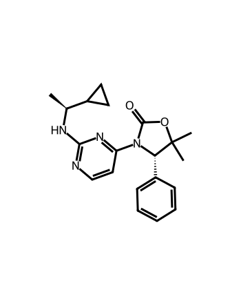 C[C@H](Nc1nccc(N2C(=O)OC(C)(C)[C@@H]2c2ccccc2)n1)C1CC1